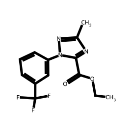 CCOC(=O)c1nc(C)nn1-c1cccc(C(F)(F)F)c1